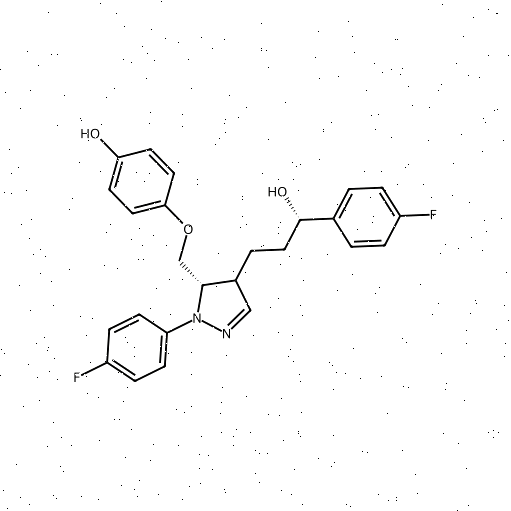 Oc1ccc(OC[C@@H]2C(CC[C@H](O)c3ccc(F)cc3)C=NN2c2ccc(F)cc2)cc1